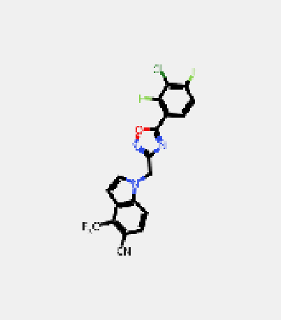 N#Cc1ccc2c(ccn2Cc2noc(-c3ccc(F)c(Cl)c3F)n2)c1C(F)(F)F